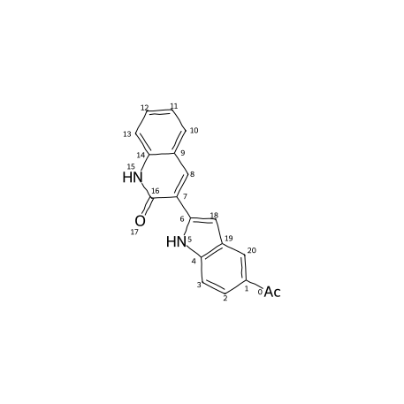 CC(=O)c1ccc2[nH]c(-c3cc4ccccc4[nH]c3=O)cc2c1